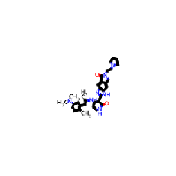 Cc1ccc(N(C)C)cc1CC(C)Nc1cc[nH]c(=O)c1-c1nc2cc3c(cc2[nH]1)CN(CCN1CCCC1)C3=O